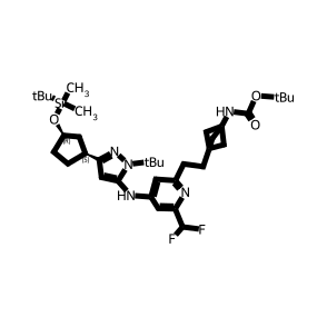 CC(C)(C)OC(=O)NC12CC(CCc3cc(Nc4cc([C@H]5CC[C@@H](O[Si](C)(C)C(C)(C)C)C5)nn4C(C)(C)C)cc(C(F)F)n3)(C1)C2